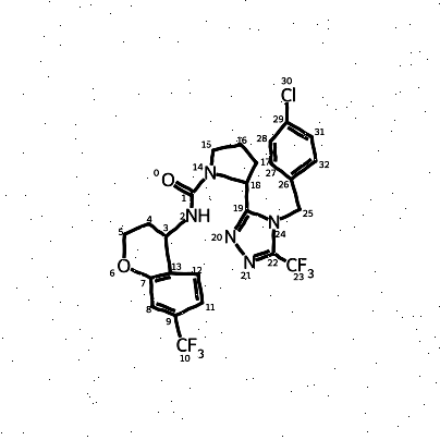 O=C(NC1CCOc2cc(C(F)(F)F)ccc21)N1CCCC1c1nnc(C(F)(F)F)n1Cc1ccc(Cl)cc1